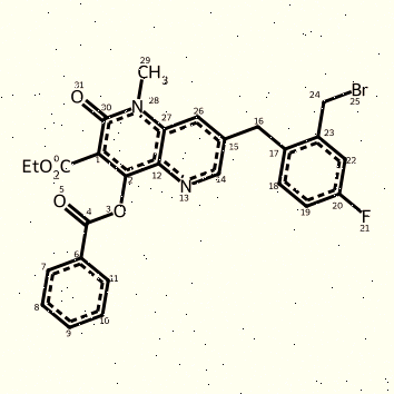 CCOC(=O)c1c(OC(=O)c2ccccc2)c2ncc(Cc3ccc(F)cc3CBr)cc2n(C)c1=O